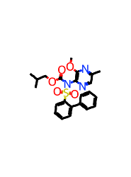 COc1nc(C)cnc1N(C(=O)OCC(C)C)S(=O)(=O)c1ccccc1-c1ccccc1